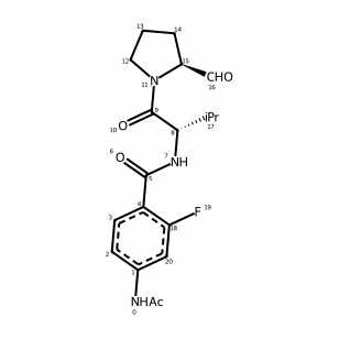 CC(=O)Nc1ccc(C(=O)N[C@H](C(=O)N2CCC[C@H]2C=O)C(C)C)c(F)c1